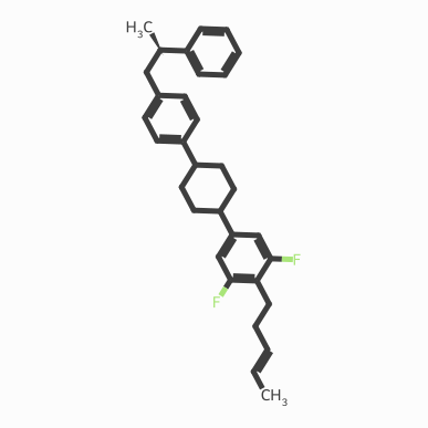 C/C=C/CCc1c(F)cc(C2CCC(c3ccc(C[C@@H](C)c4ccccc4)cc3)CC2)cc1F